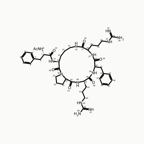 CC(=O)N[C@@H](Cc1ccccc1)C(=O)N[C@H]1CCCNC(=O)C(CCCNC(=N)N)NC(=O)C(Cc2ccccc2)NC(=O)[C@@H](CCCNC(=N)N)NC(=O)C2CCCN2C1=O